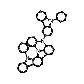 c1ccc(-n2c3ccccc3c3cc(N4c5ccccc5-n5c6c4cccc6c4ccc6c7ccccc7n(-c7ccccc7)c6c45)ccc32)cc1